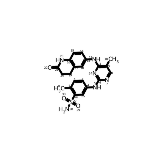 Cc1ccc(Nc2ncc(C)c(Nc3ccc4c(c3)CCC(=O)N4)n2)cc1S(N)(=O)=O